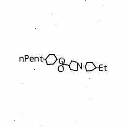 CCCCC[C@H]1CC[C@H](OC(=O)C2CCN([C@H]3CC[C@H](CC)CC3)CC2)CC1